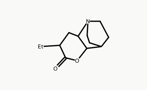 CCC1CC2C(OC1=O)C1CCN2CC1